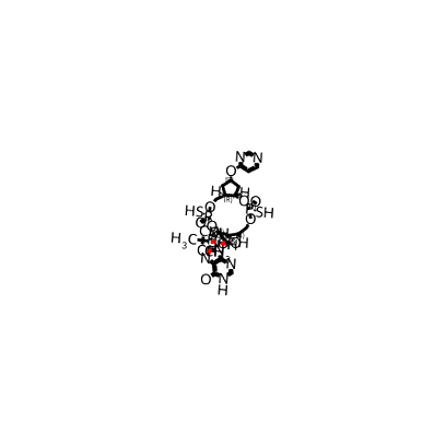 CC(C)(C)[Si](C)(C)O[C@H]1[C@H]2O[P@](=O)(S)OC[C@H]3C[C@@H](Oc4ccncn4)C[C@@H]3O[P@](=O)(S)OC[C@H]1O[C@H]2n1cnc2c(=O)[nH]cnc21